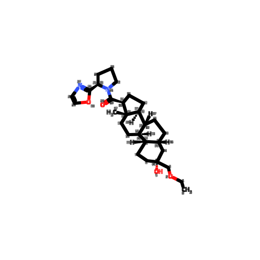 CCOC[C@@]1(O)CC[C@H]2[C@H](CC[C@@H]3[C@@H]2CC[C@]2(C)[C@@H](C(=O)N4CCC[C@@H]4c4ncco4)CC[C@@H]32)C1